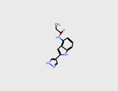 CCC(=O)Nc1cccc2[nH]c(-c3cn[nH]c3)cc12